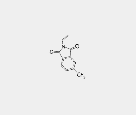 C=CN1C(=O)c2ccc(C(F)(F)F)cc2C1=O